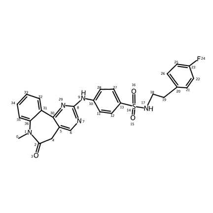 CN1C(=O)Cc2cnc(Nc3ccc(S(=O)(=O)NCCc4ccc(F)cc4)cc3)nc2-c2ccccc21